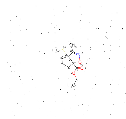 CCOC(=O)C12CCCC1(SC)C(C)=NO2